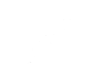 CCCc1ccc(C(=O)Oc2ccc(-c3ccc(C(=O)OCC(C)CC)cc3)cc2)cc1